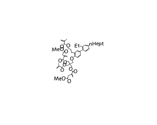 C=C(C)C(=O)OCCCc1cc(-c2ccc(CCCCCCC)cc2CC)ccc1OCC(COC(=O)C(=C)C)(COC(=O)C(=C)CC(=O)OC)COC(=O)C(=C)CC(=O)OC